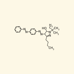 CCCCC1=NN(C(C)(C)C)C(O)C1N=Nc1ccc(N=Nc2ccccc2)cc1